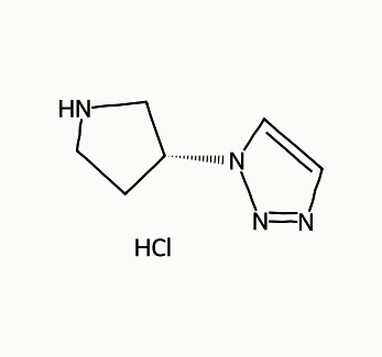 Cl.c1cn([C@@H]2CCNC2)nn1